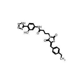 CCc1ccc(/C=C2\SC(=O)N(CCCC(=O)Nc3ccc(-c4nnn[nH]4)c(O)c3)C2=O)cc1